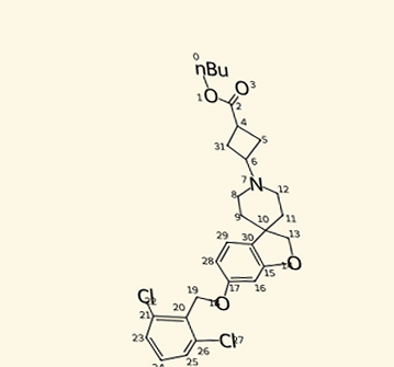 CCCCOC(=O)C1CC(N2CCC3(CC2)COc2cc(OCc4c(Cl)cccc4Cl)ccc23)C1